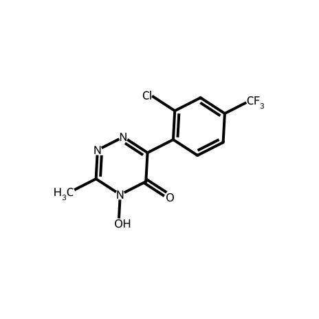 Cc1nnc(-c2ccc(C(F)(F)F)cc2Cl)c(=O)n1O